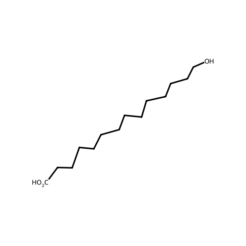 O=C(O)CCCCCCCCCCCCCO